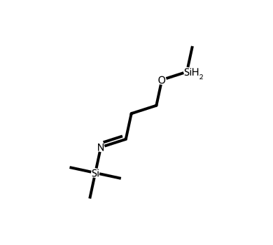 C[SiH2]OCCC=N[Si](C)(C)C